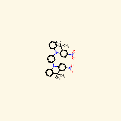 CC1(C)c2ccccc2N(c2cccc(N3c4ccccc4C(C)(C)c4cc([N+](=O)[O-])ccc43)c2)c2ccc([N+](=O)[O-])cc21